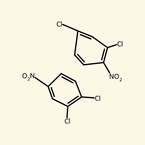 O=[N+]([O-])c1ccc(Cl)c(Cl)c1.O=[N+]([O-])c1ccc(Cl)cc1Cl